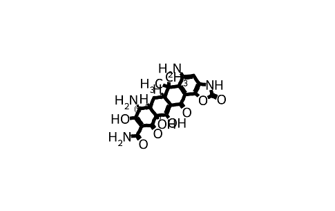 CC1(C)c2c(N)cc3[nH]c(=O)oc3c2C(=O)C2=C(O)[C@]3(O)C(=O)C(C(N)=O)=C(O)[C@@H](N)[C@@H]3C[C@@H]21